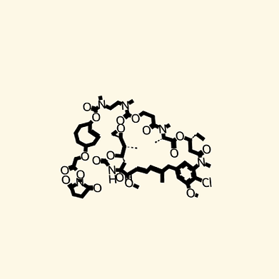 CC[C@H](CC(=O)N(C)c1cc(C/C(C)=C/C=C/[C@@H](OC)[C@@]2(O)C[C@@H]([C@@H](C)[C@H]3CO3)OC(=O)N2)cc(OC)c1Cl)OC(=O)[C@H](C)N(C)C(=O)CCOC(=O)N(C)CCN(C)C(=O)OC1/C=C/CC(OCC(=O)ON2C(=O)CCC2=O)CCC1